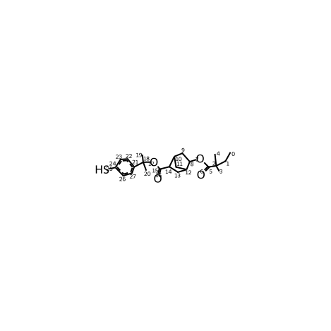 CCC(C)(C)C(=O)OC1CC2CC1CC2C(=O)OC(C)(C)c1ccc(S)cc1